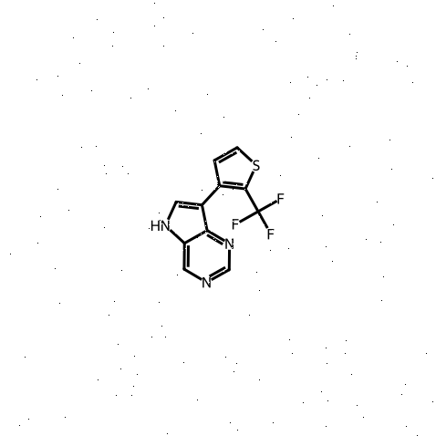 FC(F)(F)c1sccc1-c1c[nH]c2cncnc12